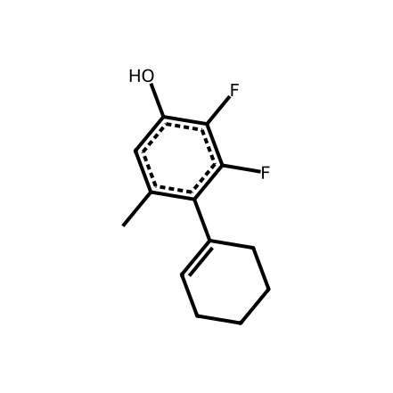 Cc1cc(O)c(F)c(F)c1C1=CCCCC1